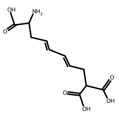 NC(C/C=C/C=C/CC(C(=O)O)C(=O)O)C(=O)O